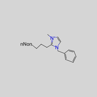 CCCCCCCCCCCCc1n(Cc2ccccc2)cc[n+]1C